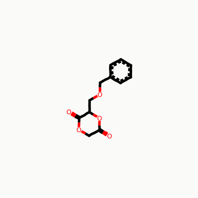 O=C1COC(=O)C(COCc2ccccc2)O1